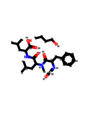 CC(C)CC(NC(=O)C(CC(C)C)N(C)C(=O)C(Cc1ccccc1)N=C=O)C(=O)O.CCCC[O]